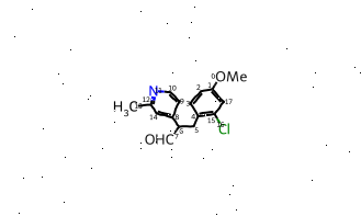 COc1ccc(CC(C=O)c2ccnc(C)c2)c(Cl)c1